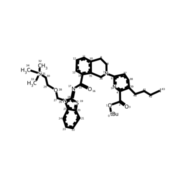 CC(C)(C)OC(=O)c1nc(N2CCc3cccc(C(=O)/N=c4\sc5ccccc5n4COCC[Si](C)(C)C)c3C2)ccc1CCCI